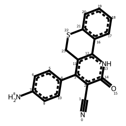 N#Cc1c(-c2ccc(N)cc2)c2c([nH]c1=O)-c1ccccc1SC2